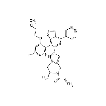 C=CC(=O)N1Cc2cc(-c3nc(-c4ccnnc4)c4ccsc4c3-c3c(F)cc(F)cc3OCCOC)nn2CC1C